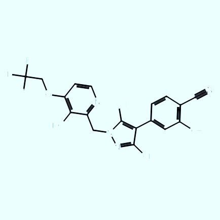 Cc1cc(-c2c(C)nn(Cc3nccc(OCC(F)(F)F)c3C)c2C)ccc1C#N